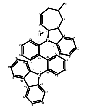 CC1CC=C[C@H]2C(C1)c1ccccc1N2c1ccccc1-c1ccccc1-n1c2ccccc2c2ccccc21